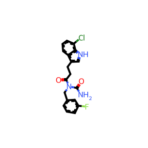 NC(=O)N(Cc1cccc(F)c1)C(=O)CCc1c[nH]c2c(Cl)cccc12